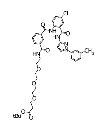 Cc1cccc(-n2ccc(NC(=O)c3cc(Cl)ccc3NC(=O)c3cccc(C(=O)NCCOCCOCCOCCC(=O)OC(C)(C)C)c3)n2)c1